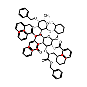 CC[C@H]1CCC[C@@H](O[C@@H]2O[C@H](COC(=O)c3ccccc3)[C@H](OC(=O)c3ccccc3)[C@H](O[C@@H](CC3CCCCC3)C(=O)OCc3ccccc3)[C@H]2OC(=O)c2ccccc2)[C@@H]1O[C@@H]1O[C@@H](C)[C@@H](OCc2ccccc2)[C@@H](OCc2ccccc2)[C@@H]1OCc1ccccc1